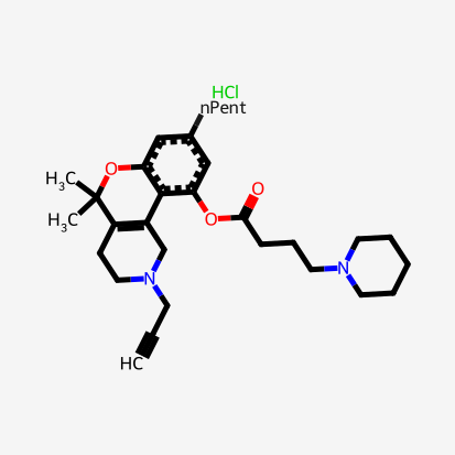 C#CCN1CCC2=C(C1)c1c(OC(=O)CCCN3CCCCC3)cc(CCCCC)cc1OC2(C)C.Cl